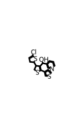 OC(C1=C(c2ccsc2)SCC1C1CC=C(Cl)S1)c1cccnc1